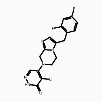 O=c1[nH]ncc(N2CCn3c(Cc4ccc(F)cc4F)cnc3C2)c1Cl